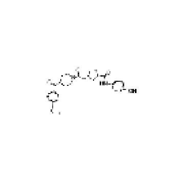 Cc1ccc(C(=O)C2CCN(C(=O)CN3CCC(C(=O)Nc4ccc(O)cc4)C3)CC2)cc1